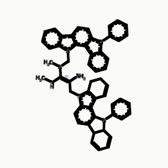 CN/C(=C(/N)Cn1c2c(c3c4c(ccc31)C1C=CC=CC1N4c1ccccc1)C=CCC2)N(C)Cn1c2ccccc2c2ccc3c(c4ccccc4n3-c3ccccc3)c21